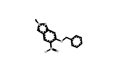 Cn1cc2cc([N+](=O)[O-])c(OCc3ccccc3)cc2n1